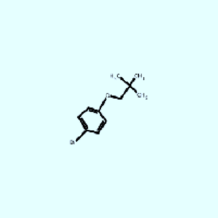 CC(C)(C)COc1ccc(Br)cc1